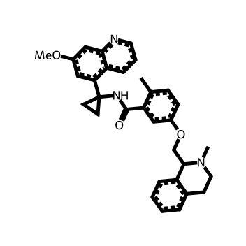 COc1cc(C2(NC(=O)c3cc(OCC4c5ccccc5CCN4C)ccc3C)CC2)c2cccnc2c1